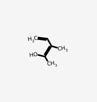 C=CC(C)=C(C)O